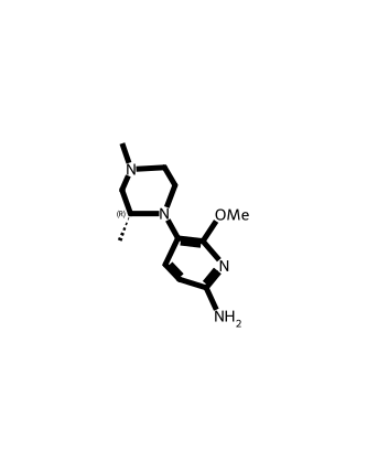 COc1nc(N)ccc1N1CCN(C)C[C@H]1C